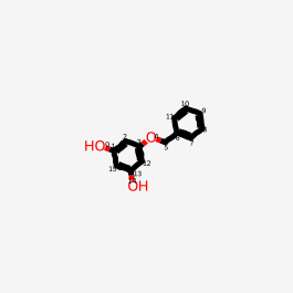 Oc1[c]c(OCc2ccccc2)cc(O)c1